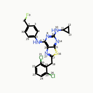 FCc1ccc(Nc2nc(NC3CC3)nc3sc(Cc4c(Cl)cccc4Cl)nc23)cc1